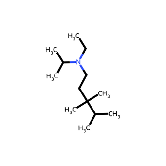 CCN(CCC(C)(C)C(C)C)C(C)C